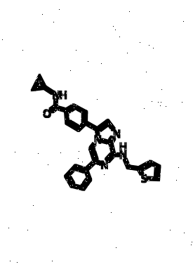 O=C(NC1CC1)c1ccc(-c2cnc3c(NCc4cccs4)nc(-c4ccccc4)cn23)cc1